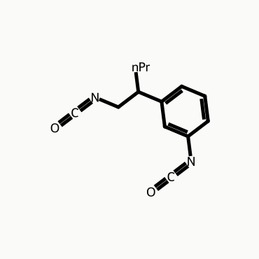 CCCC(CN=C=O)c1cccc(N=C=O)c1